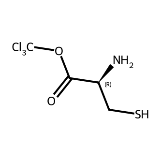 N[C@@H](CS)C(=O)OC(Cl)(Cl)Cl